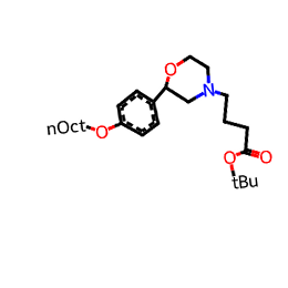 CCCCCCCCOc1ccc(C2CN(CCCC(=O)OC(C)(C)C)CCO2)cc1